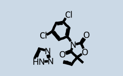 C=CC1(C)OC(=O)N(c2cc(Cl)cc(Cl)c2)C1=O.c1c[nH]nn1